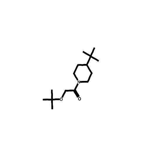 CC(C)(C)OCC(=O)N1CCC(C(C)(C)C)CC1